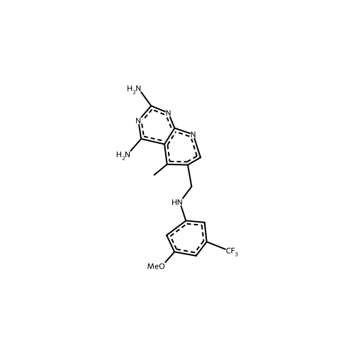 COc1cc(NCc2cnc3nc(N)nc(N)c3c2C)cc(C(F)(F)F)c1